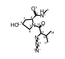 CNC(=O)[C@@H]1C[C@@H](O)CN1C(=O)C(N=[N+]=[N-])C(C)C